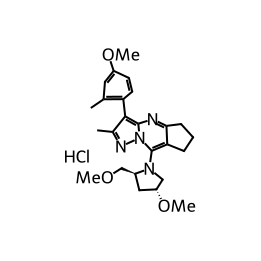 COC[C@@H]1C[C@@H](OC)CN1c1c2c(nc3c(-c4ccc(OC)cc4C)c(C)nn13)CCC2.Cl